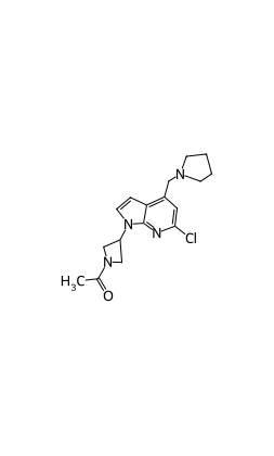 CC(=O)N1CC(n2ccc3c(CN4CCCC4)cc(Cl)nc32)C1